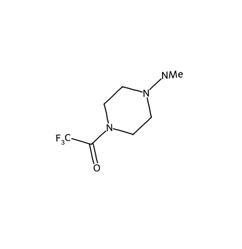 CNN1CCN(C(=O)C(F)(F)F)CC1